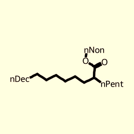 CCCCCCCCCCCCCCCCC(CCCCC)C(=O)OCCCCCCCCC